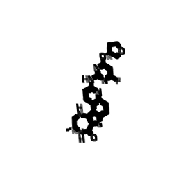 C[C@@H]1CNc2c(sc3ccc4nc(Nc5nc(F)cc(O[C@@H]6CCOC6)n5)ccc4c23)C(=O)N1